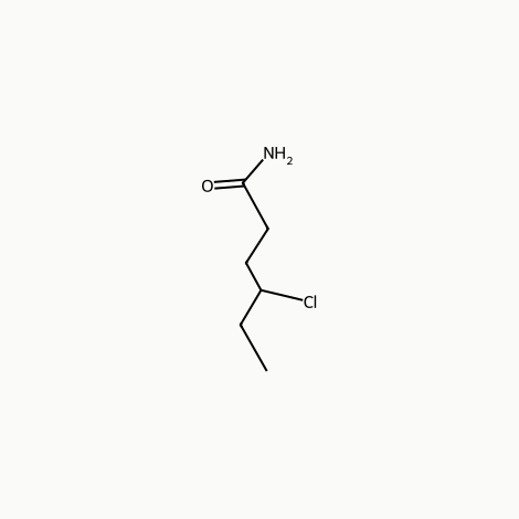 CCC(Cl)CCC(N)=O